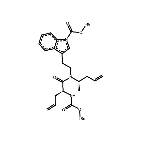 C=CC[C@H](NC(=O)OC(C)(C)C)C(=O)N(CCc1cn(C(=O)OC(C)(C)C)c2ccccc12)[C@H](C)CC=C